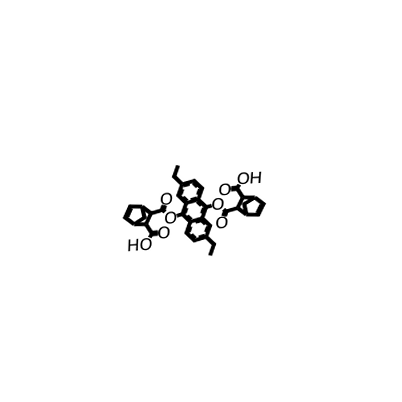 CCc1ccc2c(OC(=O)C3C4C=CC(C4)C3C(=O)O)c3cc(CC)ccc3c(OC(=O)C3C4C=CC(C4)C3C(=O)O)c2c1